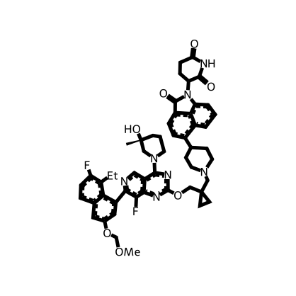 CCc1c(F)ccc2cc(OCOC)cc(-c3ncc4c(N5CCC[C@@](C)(O)C5)nc(OCC5(CN6CCC(c7ccc8c9c(cccc79)N(C7CCC(=O)NC7=O)C8=O)CC6)CC5)nc4c3F)c12